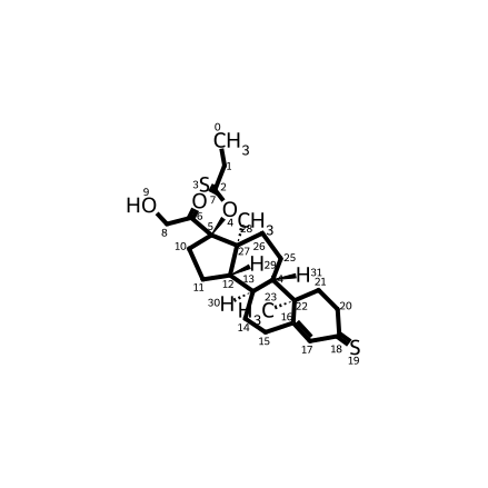 CCC(=S)O[C@]1(C(=O)CO)CC[C@H]2[C@@H]3CCC4=CC(=S)CC[C@]4(C)[C@H]3CC[C@@]21C